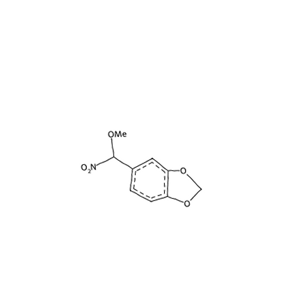 COC(c1ccc2c(c1)OCO2)[N+](=O)[O-]